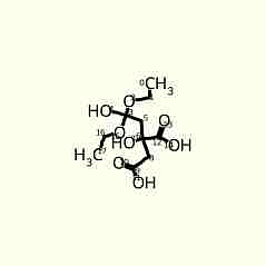 CCOC(O)(CC(O)(CC(=O)O)C(=O)O)OCC